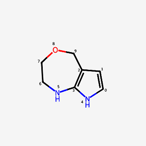 c1cc2c([nH]1)NCCOC2